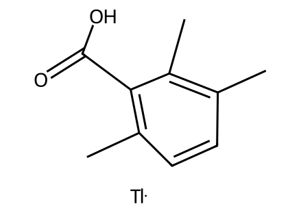 Cc1ccc(C)c(C(=O)O)c1C.[Tl]